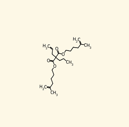 C=CCC(CCC)(C(=O)OCCCCC(=C)C)C(=O)OCCCCC(=C)C